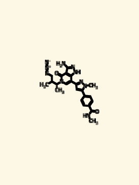 CNC(=O)c1ccc(-c2cc(-c3cn([C@@H](C)C(C)CN=[N+]=[N-])c(=O)c4c(N)n[nH]c34)nn2C)cc1